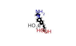 NC1CN(c2ccc3c(c2)C[C@H](CCCB(O)O)[C@@H]3C(=O)O)C1